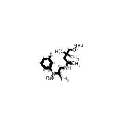 C=C(CC(C)(C)COC(C)(C)C)NCC(C)N(N=O)c1cccc(F)c1